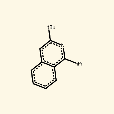 CC(C)c1nc(C(C)(C)C)cc2ccccc12